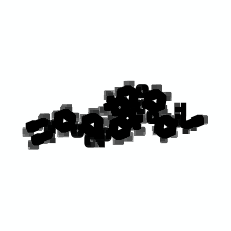 C#CCNc1cccc(Oc2cccc(Oc3ccc4c(c3)C3(CC4(C)C)CC(C)(C)c4ccc(Oc5cccc(Oc6cccc(N(CC#C)CC#C)c6)c5C#N)cc43)c2C#N)c1